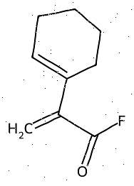 C=C(C(=O)F)C1=CCCCC1